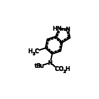 Cc1cc2[nH]ncc2cc1N(C(=O)O)C(C)(C)C